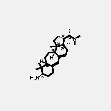 C[C@@H]([C@H]1CC[C@@]2(C)[C@@H]3CC[C@@H]4C(=CC3=CC[C@]12C)CC[C@H](N)C4(C)C)N(C)C